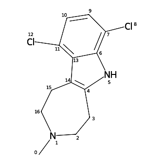 CN1CCc2[nH]c3c(Cl)ccc(Cl)c3c2CC1